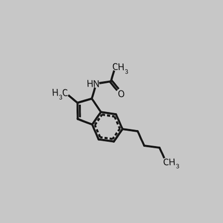 CCCCc1ccc2c(c1)C(NC(C)=O)C(C)=C2